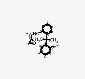 CC(C)(c1ccccc1O)c1ccccc1O.CC1CO1